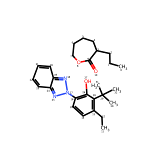 CCCC1CCCCOC1=O.CCc1ccc(-n2nc3ccccc3n2)c(O)c1C(C)(C)C